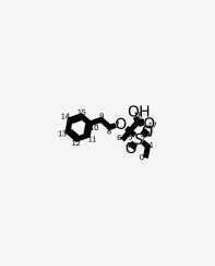 CCS(=O)(=O)C(C)(OCCc1ccccc1)C(=O)O